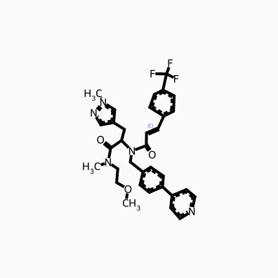 COCCN(C)C(=O)C(Cc1cnn(C)c1)N(Cc1ccc(-c2ccncc2)cc1)C(=O)/C=C/c1ccc(C(F)(F)F)cc1